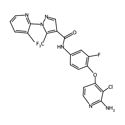 Cc1cccnc1-n1ncc(C(=O)Nc2ccc(Oc3ccnc(N)c3Cl)c(F)c2)c1C(F)(F)F